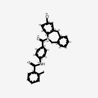 Cc1ccccc1C(=S)Nc1ccc(C(=O)N2Cc3ccccc3Cc3cc(Cl)ccc32)cc1